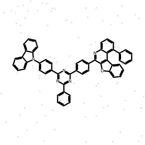 c1ccc(-c2nc(-c3ccc(-c4nc5cccc(-c6ccccc6)c5c5c4oc4ccccc45)cc3)nc(-c3ccc(-n4c5ccccc5c5ccccc54)cc3)n2)cc1